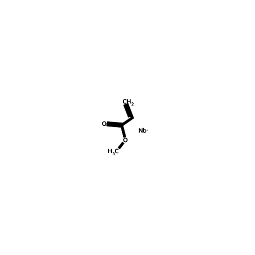 C=CC(=O)OC.[Nb]